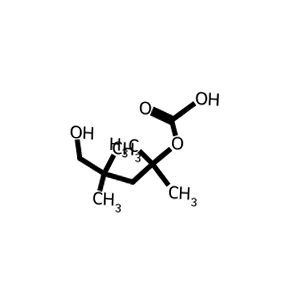 CC(C)(CO)CC(C)(C)OC(=O)O